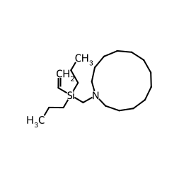 C=C[Si](CCC)(CCC)CN1CCCCCCCCCCCC1